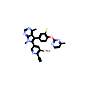 C#Cc1ncc(-c2c(-c3ccc(Oc4nccc(C)n4)c(F)c3)c3c(C)ncnc3n2C)cc1OC